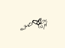 Cc1nn2ccc(C3CCN(C(=O)OC(C)(C)C)CC3)cc2c1C(=O)O